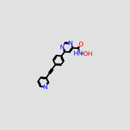 O=C(NO)c1cc(-c2ccc(C#Cc3cccnc3)cc2)ncn1